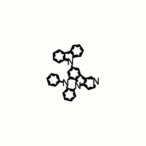 c1ccc(N2c3ccccc3-n3c4ccncc4c4cc(-n5c6ccccc6c6ccccc65)cc2c43)cc1